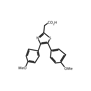 COc1ccc(-c2nc(CC(=O)O)sc2-c2ccc(OC)cc2)cc1